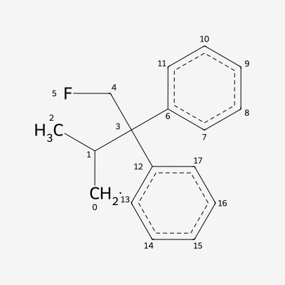 [CH2]C(C)C(CF)(c1ccccc1)c1ccccc1